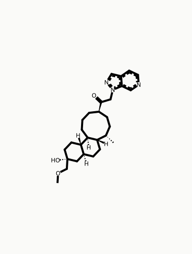 COC[C@@]1(O)CC[C@H]2[C@@H](CC[C@@H]3[C@@H]2CCC[C@@H](C(=O)Cn2ncc4ccncc42)CC[C@@H]3C)C1